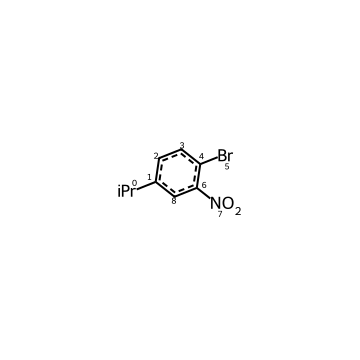 [CH2]C(C)c1ccc(Br)c([N+](=O)[O-])c1